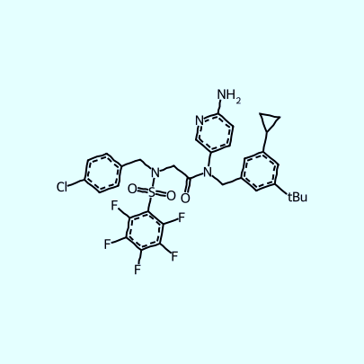 CC(C)(C)c1cc(CN(C(=O)CN(Cc2ccc(Cl)cc2)S(=O)(=O)c2c(F)c(F)c(F)c(F)c2F)c2ccc(N)nc2)cc(C2CC2)c1